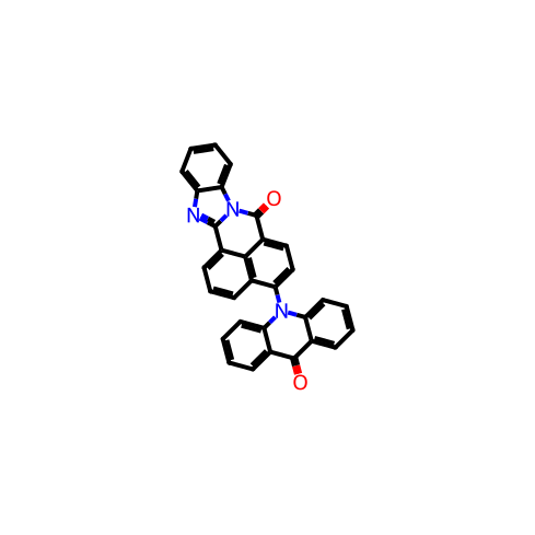 O=c1c2ccccc2n(-c2ccc3c(=O)n4c5ccccc5nc4c4cccc2c34)c2ccccc12